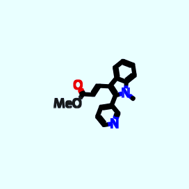 COC(=O)C=Cc1c(-c2cccnc2)n(C)c2ccccc12